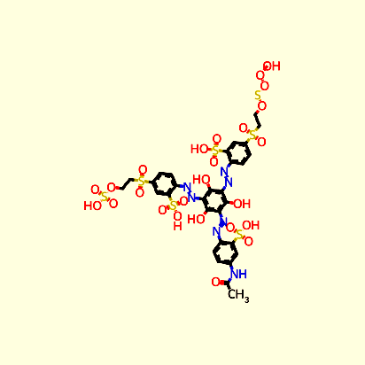 CC(=O)Nc1ccc(/N=N/c2c(O)c(/N=N/c3ccc(S(=O)(=O)CCOSOOO)cc3S(=O)(=O)O)c(O)c(/N=N/c3ccc(S(=O)(=O)CCOS(=O)(=O)O)cc3S(=O)(=O)O)c2O)c(S(=O)(=O)O)c1